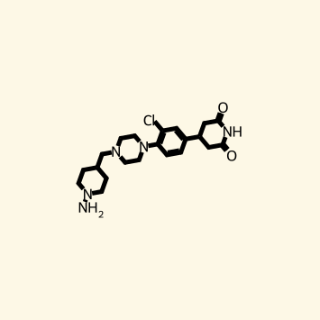 NN1CCC(CN2CCN(c3ccc(C4CC(=O)NC(=O)C4)cc3Cl)CC2)CC1